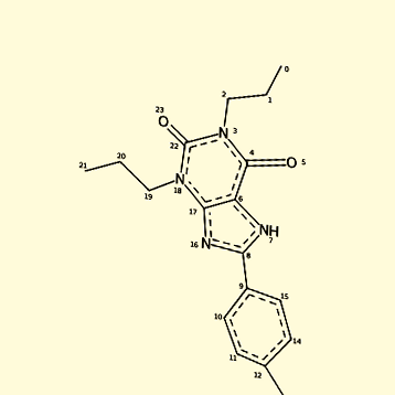 CCCn1c(=O)c2[nH]c(-c3ccc(C)cc3)nc2n(CCC)c1=O